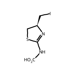 O=C(O)NC1=N[C@H](CI)CS1